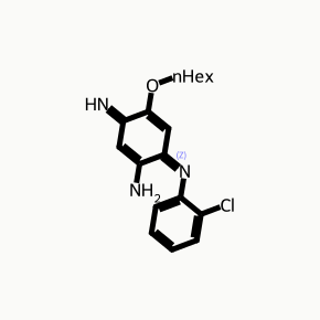 CCCCCCOC1=C/C(=N/c2ccccc2Cl)C(N)=CC1=N